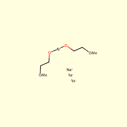 COCC[O][Al+][O]CCOC.[2H-].[2H-].[Na+]